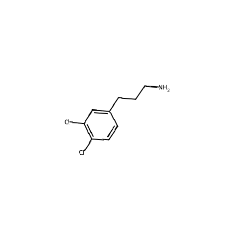 NCCCc1ccc(Cl)c(Cl)c1